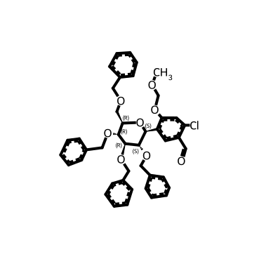 COCOc1cc(Cl)c(C=O)cc1[C@@H]1O[C@H](COCc2ccccc2)[C@@H](OCc2ccccc2)[C@H](OCc2ccccc2)[C@H]1OCc1ccccc1